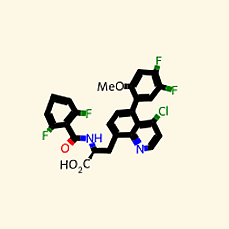 COc1cc(F)c(F)cc1-c1ccc(C[C@H](NC(=O)c2c(F)cccc2F)C(=O)O)c2nccc(Cl)c12